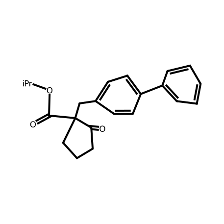 CC(C)OC(=O)C1(Cc2ccc(-c3ccccc3)cc2)CCCC1=O